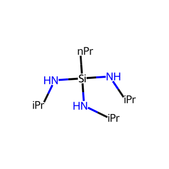 CCC[Si](NC(C)C)(NC(C)C)NC(C)C